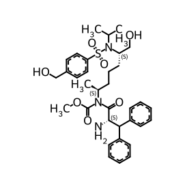 COC(=O)N(C(=O)[C@@H](N)C(c1ccccc1)c1ccccc1)[C@@H](C)CCC[C@@H](CO)N(C(C)C)S(=O)(=O)c1ccc(CO)cc1